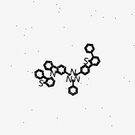 c1ccc(-c2nc(-c3ccc4c(c3)sc3c(-c5ccccc5)cccc34)nc(-c3ccc4c5ccccc5n(-c5cccc6sc7ccccc7c56)c4c3)n2)cc1